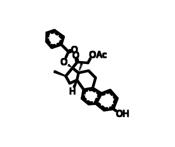 CC(=O)OCC(=O)[C@]1(OC(=O)c2ccccc2)[C@H](C)C[C@H]2c3ccc4cc(O)ccc4c3CC[C@@]21C